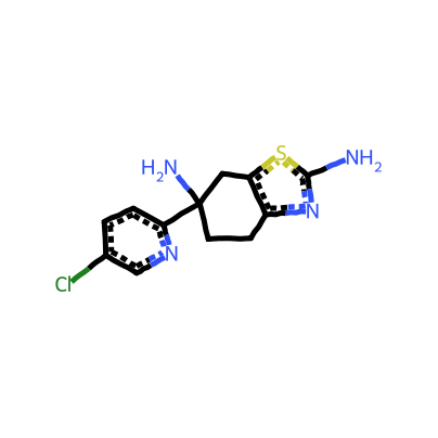 Nc1nc2c(s1)CC(N)(c1ccc(Cl)cn1)CC2